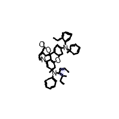 C/C=C\C(=C(/C)CC)N(C1=CC=CC=CC1)C1(C)C=CC2=C(C1)OC1CC(N(c3ccccc3CC)C3(C)C=CC=CC3)=CC=C1C21OC(=O)c2cccnc21